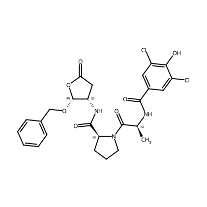 C[C@H](NC(=O)c1cc(Cl)c(O)c(Cl)c1)C(=O)N1CCC[C@H]1C(=O)N[C@H]1CC(=O)O[C@H]1OCc1ccccc1